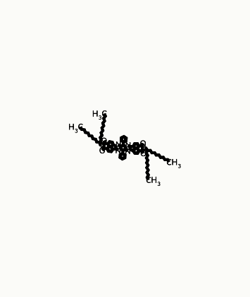 CCCCCCCCCCCCC(CCCCCCCCCC)CN1C(=O)c2ccc3c4c(ccc(c24)C1=O)-c1nc2c(-c4ccccc4)c4nc5c(nc4c(-c4ccccc4)c2nc1-3)-c1ccc2c3c(ccc-5c13)C(=O)N(CC(CCCCCCCCCC)CCCCCCCCCCCC)C2=O